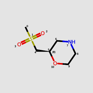 CS(=O)(=O)C[C@H]1CNCCO1